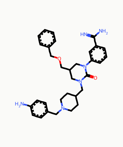 N=C(N)c1cccc(N2CC(COCc3ccccc3)CN(CC3CCN(Cc4ccc(N)cc4)CC3)C2=O)c1